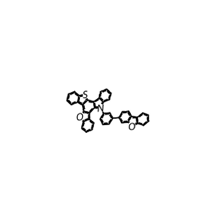 c1cc(-c2ccc3c(c2)oc2ccccc23)cc(-n2c3ccccc3c3c4sc5ccccc5c4c4oc5ccccc5c4c32)c1